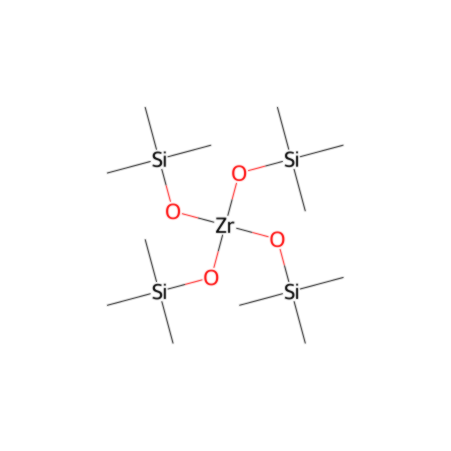 C[Si](C)(C)[O][Zr]([O][Si](C)(C)C)([O][Si](C)(C)C)[O][Si](C)(C)C